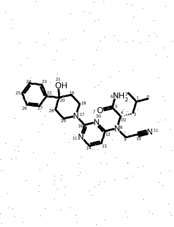 CC(C)C[C@@H](C(N)=O)N(CC#N)c1ccnc(N2CCC(O)(c3ccccc3)CC2)n1